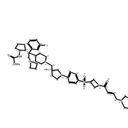 COC(=O)N[C@H]1CCC[C@@H]1C(CN1CCC1)(c1cccc(F)c1)C1CCN(C[C@]2(F)CCN(c3ccc(S(=O)(=O)C4CN(C(=O)/C=C/CN5CCCCC5)C4)cc3)C2)CC1